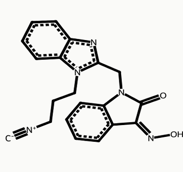 [C-]#[N+]CCCn1c(CN2C(=O)C(=NO)c3ccccc32)nc2ccccc21